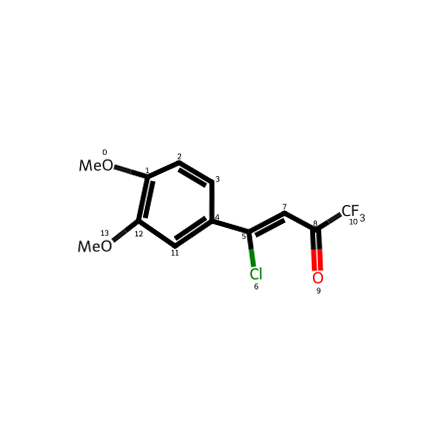 COc1ccc(/C(Cl)=C/C(=O)C(F)(F)F)cc1OC